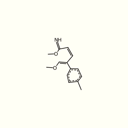 CO/C=C(/C=C\C(=N)OC)c1ccc(C)cc1